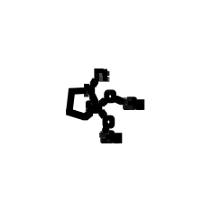 CC[N]1CC[CH2][Sn]1([O]C(C)(C)C)[O]C(C)(C)C